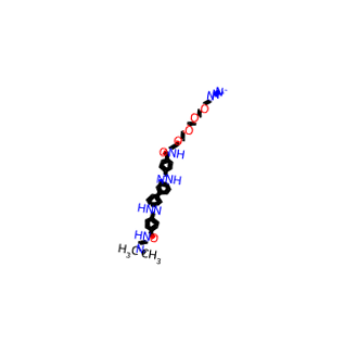 CN(C)CCNC(=O)c1ccc(-c2nc3cc(-c4ccc5[nH]c(-c6ccc(C(=O)NCCOCCOCCOCCOCCN=[N+]=[N-])cc6)nc5c4)ccc3[nH]2)cc1